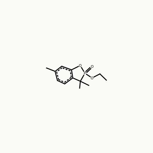 CCOP1(=O)Oc2cc(C)ccc2C1(C)C